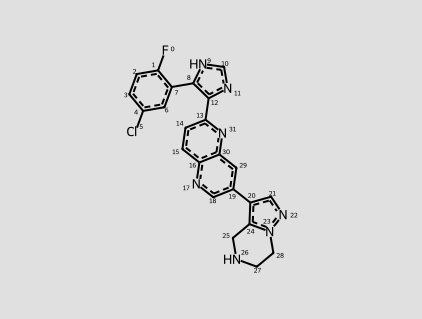 Fc1ccc(Cl)cc1-c1[nH]cnc1-c1ccc2ncc(-c3cnn4c3CNCC4)cc2n1